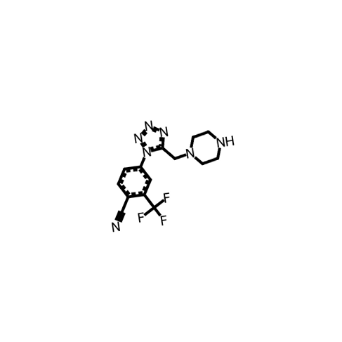 N#Cc1ccc(-n2nnnc2CN2CCNCC2)cc1C(F)(F)F